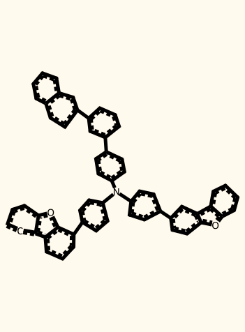 c1cc(-c2ccc(N(c3ccc(-c4ccc5oc6ccccc6c5c4)cc3)c3ccc(-c4cccc5c4oc4ccccc45)cc3)cc2)cc(-c2ccc3ccccc3c2)c1